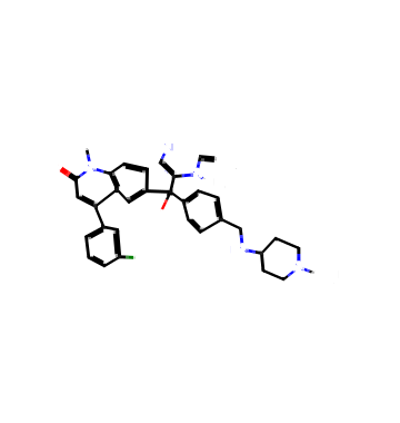 C=CN(C)/C(=C\N)C(O)(c1ccc(CNC2CCN(C(=O)OCC)CC2)cc1)c1ccc2c(c1)c(-c1cccc(Cl)c1)cc(=O)n2C